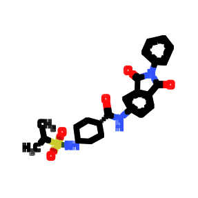 CC(C)S(=O)(=O)N[C@H]1CC[C@H](C(=O)Nc2ccc3c(c2)C(=O)N(c2ccccc2)C3=O)CC1